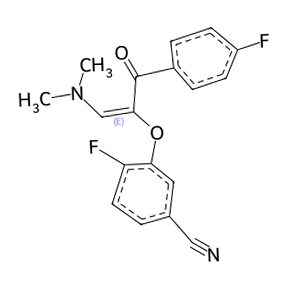 CN(C)/C=C(/Oc1cc(C#N)ccc1F)C(=O)c1ccc(F)cc1